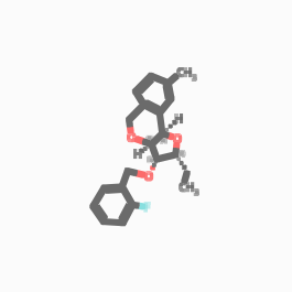 CC[C@H]1O[C@@H]2c3cc(C)ccc3CO[C@@H]2[C@H]1OCc1ccccc1F